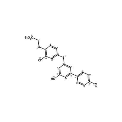 CCOC(=O)COc1ccc(Sc2cc(O)cc(-c3ccc(Cl)cc3)c2)cc1Cl